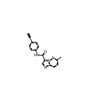 C#Cc1ccc(NC(=O)c2cnc3ccc(C)nn23)cc1